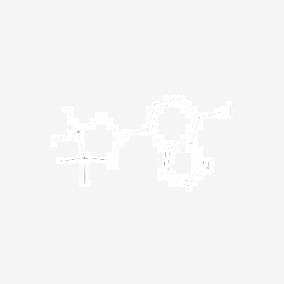 CC1(C)OB(c2ccc(Cl)c3ncsc23)OC1(C)C